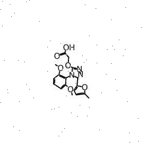 COc1cccc(OC)c1-n1c(OCC(=O)O)nnc1-c1ccc(C)o1